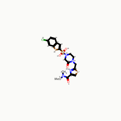 CON(C)C(=O)c1csc(CN2CCN(S(=O)(=O)c3cc4ccc(Cl)cc4s3)CC2=O)n1